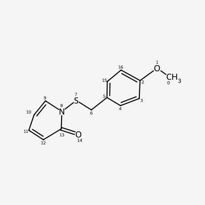 COc1ccc(CSn2ccccc2=O)cc1